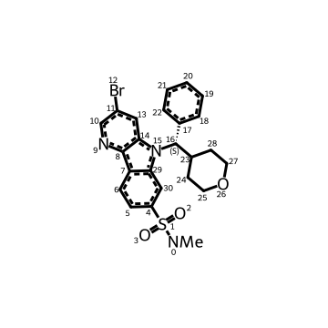 CNS(=O)(=O)c1ccc2c3ncc(Br)cc3n([C@H](c3ccccc3)C3CCOCC3)c2c1